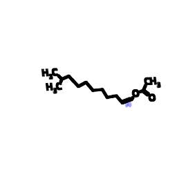 CC(=O)O/C=C\CCCCCCCC(C)C